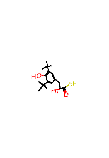 CC(C)(C)c1cc(CC(O)C(=O)S)cc(C(C)(C)C)c1O